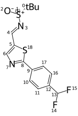 CC(C)(C)[S@@+]([O-])N=Cc1cnc(-c2ccc(C(F)F)cc2)s1